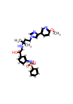 COc1ccc(-c2cn(CCC(C)(C)NCC(O)c3cccc(NS(=O)(=O)c4ccccc4)c3)cn2)cn1